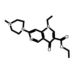 CCOC(=O)c1cn(CC)c2cc(N3CCN(C)CC3)ncc2c1=O